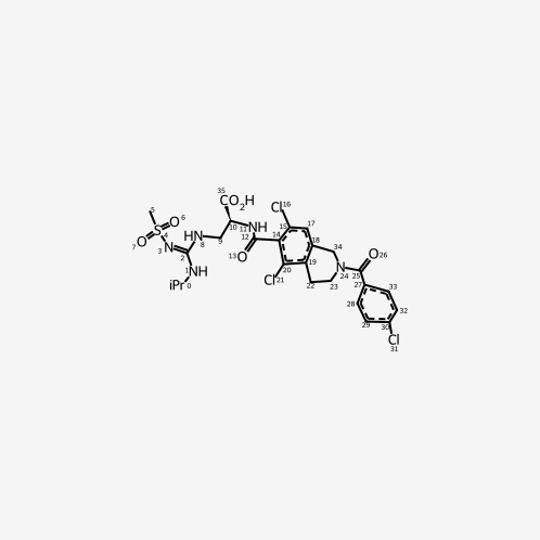 CC(C)N/C(=N/S(C)(=O)=O)NC[C@H](NC(=O)c1c(Cl)cc2c(c1Cl)CCN(C(=O)c1ccc(Cl)cc1)C2)C(=O)O